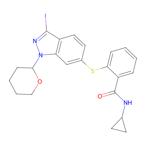 O=C(NC1CC1)c1ccccc1Sc1ccc2c(I)nn(C3CCCCO3)c2c1